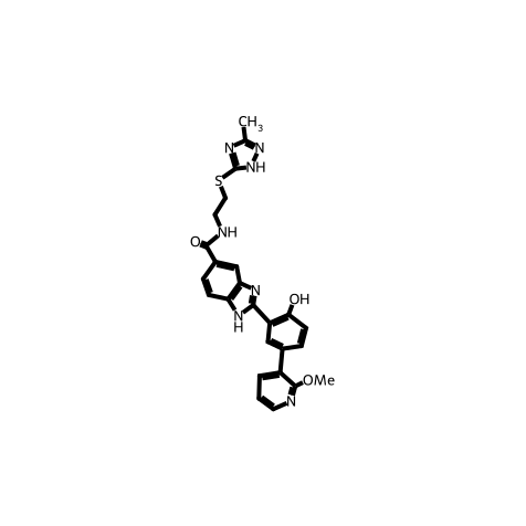 COc1ncccc1-c1ccc(O)c(-c2nc3cc(C(=O)NCCSc4nc(C)n[nH]4)ccc3[nH]2)c1